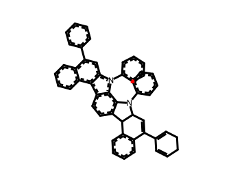 C1=CC(C2=CC3C(c4ccccc42)c2ccc4c5c6ccccc6c(-c6ccccc6)cc5n(-c5ccccc5)c4c2N3c2ccccc2)=CCC1